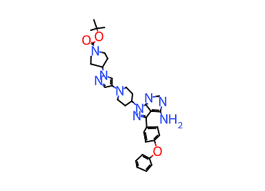 CC(C)(C)OC(=O)N1CCC(n2cc(N3CCC(n4nc(-c5ccc(Oc6ccccc6)cc5)c5c(N)ncnc54)CC3)cn2)CC1